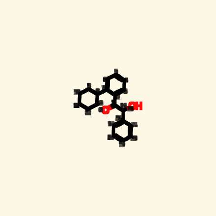 O=C(c1ccccc1C1CCCCC1)C(O)c1ccccc1